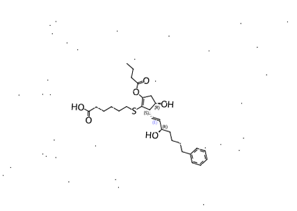 CCCC(=O)OC1=C(SCCCCCC(=O)O)[C@@H](/C=C/[C@H](O)CCCCc2ccccc2)[C@H](O)C1